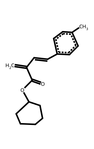 C=C(C=Cc1ccc(C)cc1)C(=O)OC1CCCCC1